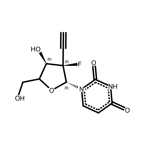 C#C[C@@]1(F)[C@H](O)C(CO)O[C@H]1n1ccc(=O)[nH]c1=O